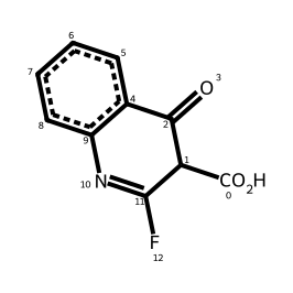 O=C(O)C1C(=O)c2ccccc2N=C1F